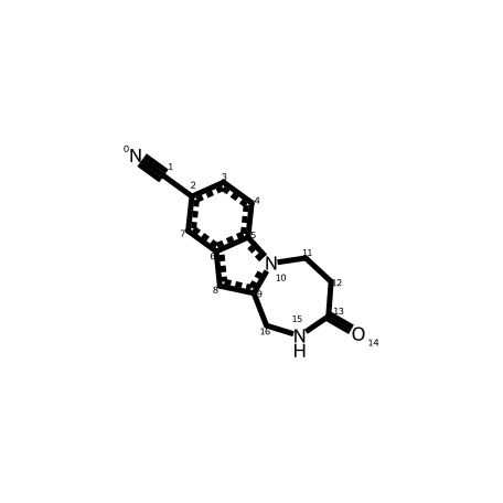 N#Cc1ccc2c(c1)cc1n2CCC(=O)NC1